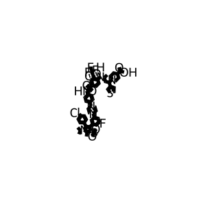 Cc1c(S(C)(=O)=O)c(-c2cc(F)cc(N3CCN(c4ccc(NS(=O)(=O)c5ccc(NC(C)CC(c6ccsc6)N6CCC(C(=O)O)CC6)c(S(=O)(=O)C(F)(F)F)c5)cc4)CC3)c2)c(-c2ccc(Cl)cc2)n1C(C)C